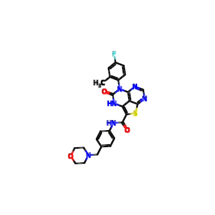 Cc1cc(F)ccc1N1C(=O)Nc2c(C(=O)Nc3ccc(CN4CCOCC4)cc3)sc3ncnc1c23